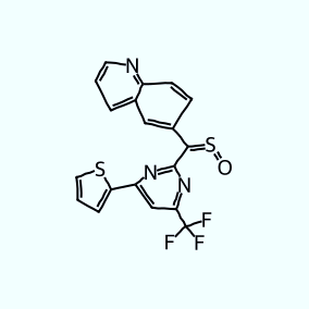 O=S=C(c1ccc2ncccc2c1)c1nc(-c2cccs2)cc(C(F)(F)F)n1